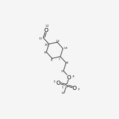 CS(=O)(=O)OCCC1CCC(C=O)CC1